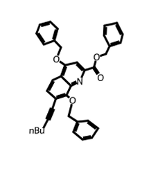 CCCCC#Cc1ccc2c(OCc3ccccc3)cc(C(=O)OCc3ccccc3)nc2c1OCc1ccccc1